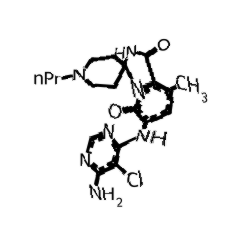 CCCN1CCC2(CC1)NC(=O)c1c(C)cc(Nc3ncnc(N)c3Cl)c(=O)n12